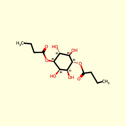 CCCC(=O)O[C@H]1[C@H](O)[C@@H](O)[C@H](OC(=O)CCC)[C@@H](O)[C@H]1O